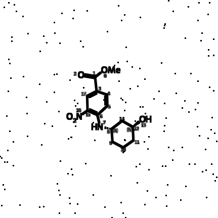 COC(=O)c1ccc(N[C@H]2CCC[C@H](O)C2)c([N+](=O)[O-])c1